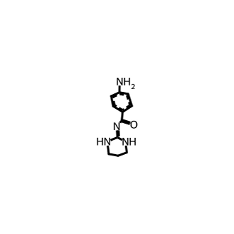 Nc1ccc(C(=O)N=C2NCCCN2)cc1